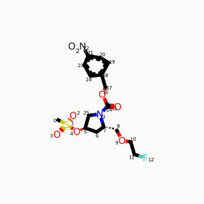 CS(=O)(=O)O[C@@H]1C[C@@H](COCCF)N(C(=O)OCc2ccc([N+](=O)[O-])cc2)C1